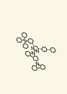 c1ccc(-c2ccc(-c3cc(-c4cccc([Si](c5ccccc5)(c5ccccc5)c5ccccc5)c4)nc(-n4c5ccccc5c5cc(-n6c7ccccc7c7ccccc76)ccc54)n3)cc2)cc1